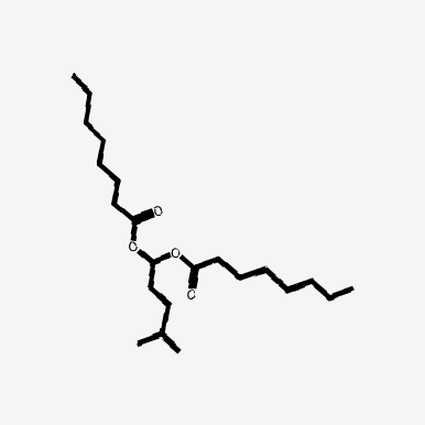 CCCCCCCC(=O)OC(CCC(C)C)OC(=O)CCCCCCC